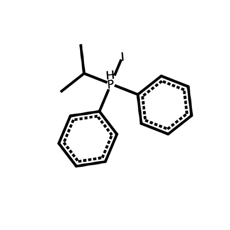 CC(C)[PH](I)(c1ccccc1)c1ccccc1